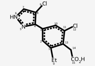 CCc1cc(-c2n[nH]cc2Cl)cc(Cl)c1CC(=O)O